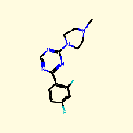 CN1CCN(c2ncnc(-c3ccc(F)cc3F)n2)CC1